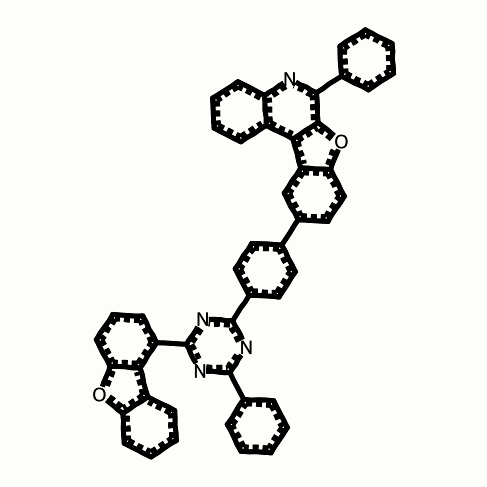 c1ccc(-c2nc(-c3ccc(-c4ccc5oc6c(-c7ccccc7)nc7ccccc7c6c5c4)cc3)nc(-c3cccc4oc5ccccc5c34)n2)cc1